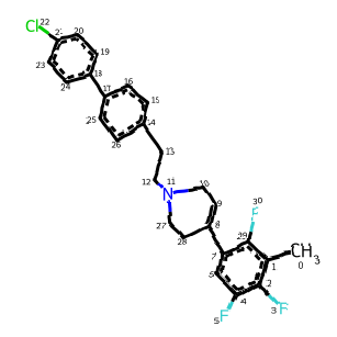 Cc1c(F)c(F)cc(C2=CCN(CCc3ccc(-c4ccc(Cl)cc4)cc3)CC2)c1F